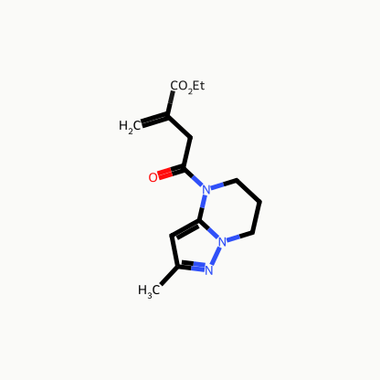 C=C(CC(=O)N1CCCn2nc(C)cc21)C(=O)OCC